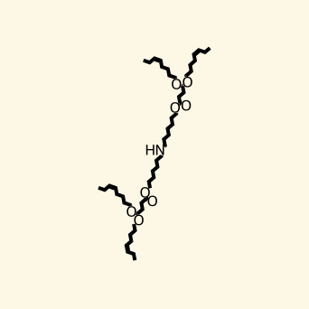 CC/C=C\CCCCOC(CCC(=O)OCCCCCCCNCCCCCCCOC(=O)CCC(OCCCC/C=C\CC)OCCCC/C=C\CC)OCCCC/C=C\CC